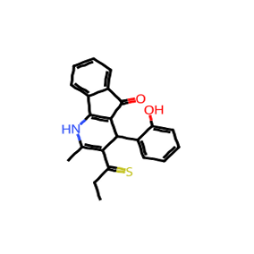 CCC(=S)C1=C(C)NC2=C(C(=O)c3ccccc32)C1c1ccccc1O